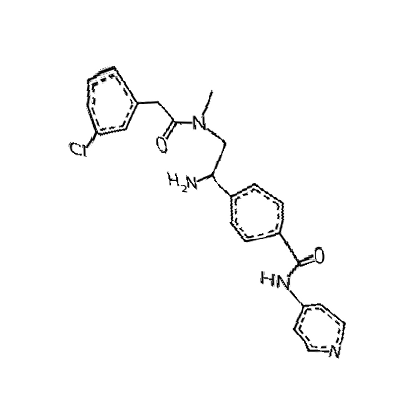 CN(CC(N)c1ccc(C(=O)Nc2ccncc2)cc1)C(=O)Cc1cccc(Cl)c1